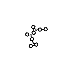 c1ccc(-c2ccc(-n3c4ccccc4c4cc(N(c5ccccc5)c5ccc(-n6c7ccccc7c7ccccc76)cc5)ccc43)cc2)cc1